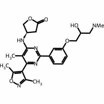 CNCC(O)COc1cccc(-c2nc(N[C@H]3COC(=O)C3)c(C)c(-c3c(C)noc3C)n2)c1